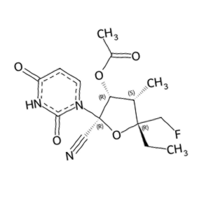 CC[C@@]1(CF)O[C@@](C#N)(n2ccc(=O)[nH]c2=O)[C@H](OC(C)=O)[C@@H]1C